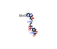 COc1ccc2ncc3c(c2n1)C[C@@H](CNCC[C@@H]1CN(c2ccc4c(c2)NC(=O)CO4)C(=O)O1)O3